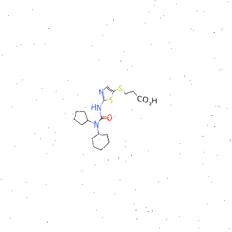 O=C(O)CCSc1cnc(NC(=O)N(C2CCCCC2)C2CCCC2)s1